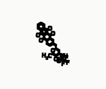 C[C@@H]1O[C@@H](CC2=CCC3C(=O)C45OC4(C(=O)c4ccccc4C5=O)C(=O)C3C2)C[C@H](NC(=O)C(F)(F)F)[C@@H]1O